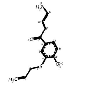 C=CCSc1cc(C(=O)CC=CN)ccc1O